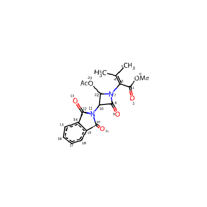 COC(=O)C(=C(C)C)N1C(=O)C(N2C(=O)c3ccccc3C2=O)C1OC(C)=O